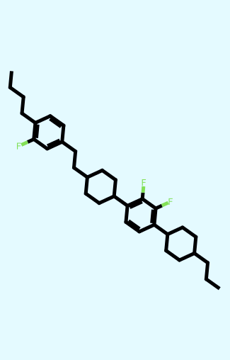 CCCCc1ccc(CCC2CCC(c3ccc(C4CCC(CCC)CC4)c(F)c3F)CC2)cc1F